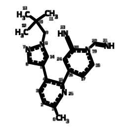 Cc1ccc(-c2cnn(CC(C)(C)C)c2)c(-c2ccn(C=N)c(=N)c2)n1